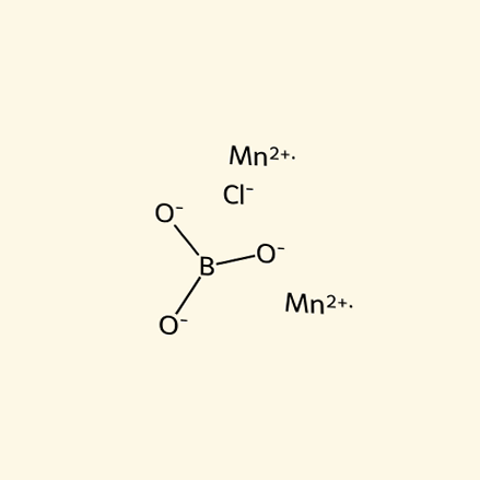 [Cl-].[Mn+2].[Mn+2].[O-]B([O-])[O-]